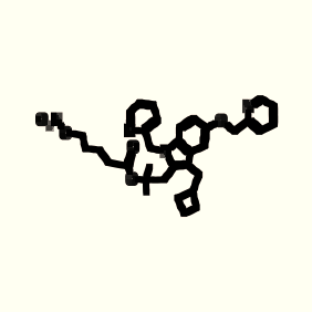 CC(C)(Cc1c(CC2CCC2)c2cc(OCc3ccccn3)ccc2n1Cc1ccccn1)OC(=O)CCCCO[N+](=O)[O-]